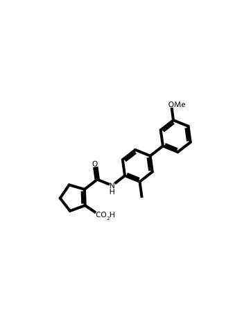 COc1cccc(-c2ccc(NC(=O)C3=C(C(=O)O)CCC3)c(C)c2)c1